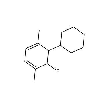 CC1=CC=C(C)C(C2CCCCC2)C1F